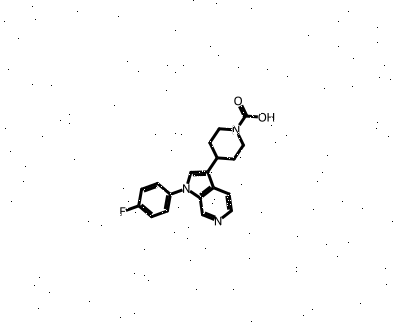 O=C(O)N1CCC(c2cn(-c3ccc(F)cc3)c3cnccc23)CC1